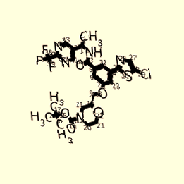 CC(NC(=O)c1cc(OC[C@@H]2CN(C(=O)OC(C)(C)C)CCO2)cc(-c2ncc(Cl)s2)c1)c1cnc(C(F)(F)F)nc1